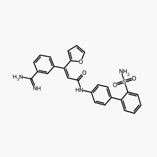 N=C(N)c1cccc(C(=CC(=O)Nc2ccc(-c3ccccc3S(N)(=O)=O)cc2)c2ccco2)c1